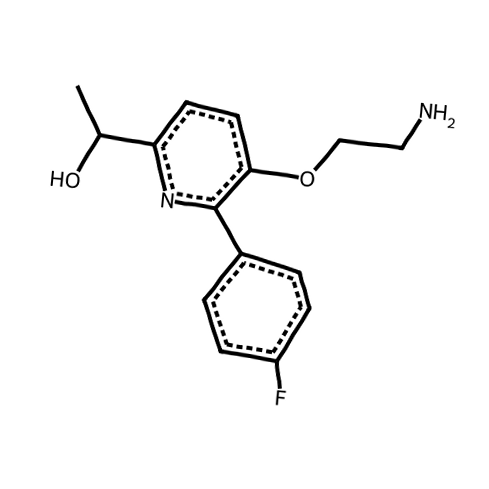 CC(O)c1ccc(OCCN)c(-c2ccc(F)cc2)n1